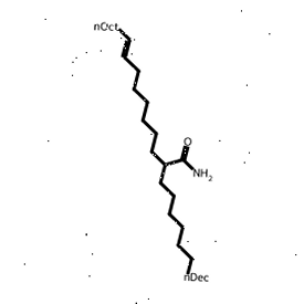 CCCCCCCCC=CCCCCCCC(CCCCCCCCCCCCCCCC)C(N)=O